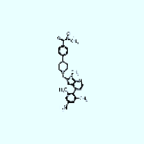 Cc1cc(N)cc(C)c1-c1ccnc2c1cc(CN1CCC(c3ccc(C(=O)N(C)C)cc3)CC1)n2C